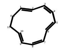 [CH]1/C=C/C=C\C=C\C=C/C=C/C1